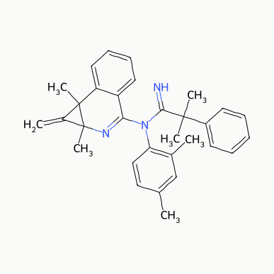 C=C1C2(C)N=C(N(C(=N)C(C)(C)c3ccccc3)c3ccc(C)cc3C)c3ccccc3C12C